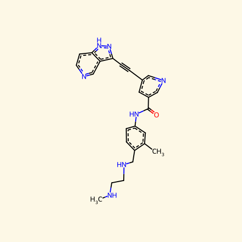 CNCCNCc1ccc(NC(=O)c2cncc(C#Cc3n[nH]c4ccncc34)c2)cc1C